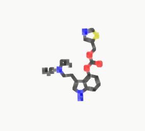 CN(C)CCc1c[nH]c2cccc(OC(=O)OCc3cncs3)c12